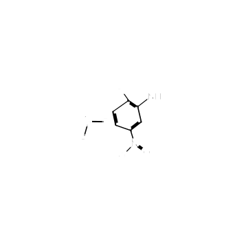 FB(F)F.Nc1cc([N+](=O)[O-])cc[c]1[K]